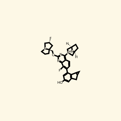 Oc1cc2c(c(-c3ccc4c(N5C[C@H]6CC[C@@H](C5)N6)nc(OC[C@@]56CCCN5C[C@H](F)C6)nc4c3F)c1)C1CC1C2